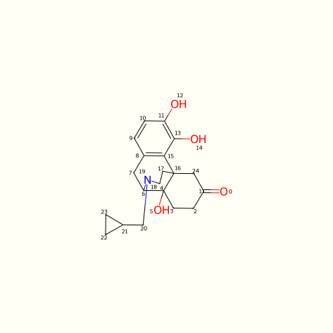 O=C1CCC2(O)C3Cc4ccc(O)c(O)c4C2(CCN3CC2CC2)C1